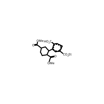 CCOC(=O)c1ccc(C(=O)O)c(C2CC(C(=O)OC)CCC2C(=O)OC)c1